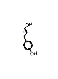 O/C=C/Cc1ccc(O)cc1